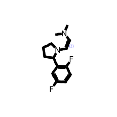 CN(C)/C=C\N1CCCC1c1cc(F)ccc1F